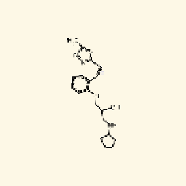 Cc1nnc(/C=C\c2ccccc2OCC(O)CNC2CCCC2)s1